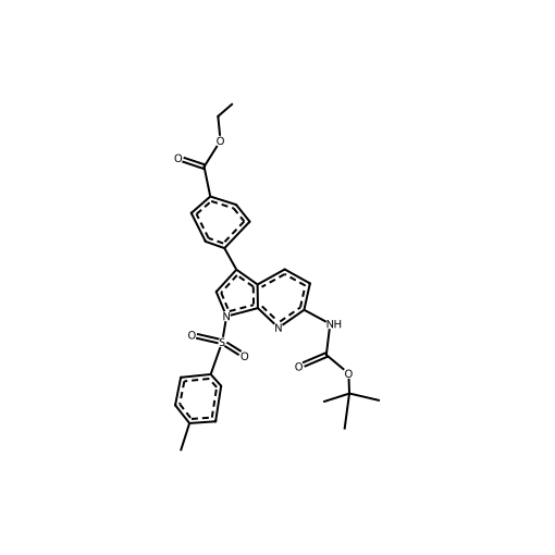 CCOC(=O)c1ccc(-c2cn(S(=O)(=O)c3ccc(C)cc3)c3nc(NC(=O)OC(C)(C)C)ccc23)cc1